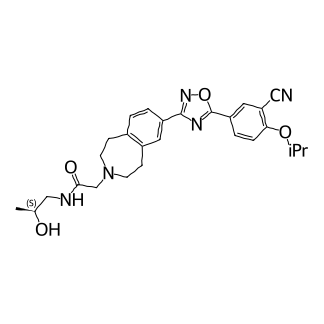 CC(C)Oc1ccc(-c2nc(-c3ccc4c(c3)CCN(CC(=O)NC[C@H](C)O)CC4)no2)cc1C#N